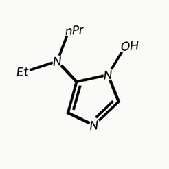 CCCN(CC)c1cncn1O